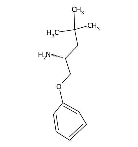 CC(C)(C)C[C@@H](N)COc1ccccc1